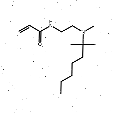 C=CC(=O)NCCN(C)C(C)(C)CCCCC